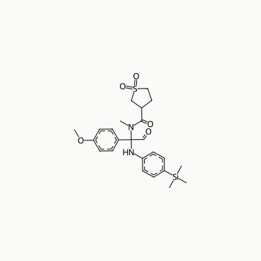 COc1ccc(C(C=O)(Nc2ccc([Si](C)(C)C)cc2)N(C)C(=O)C2CCS(=O)(=O)C2)cc1